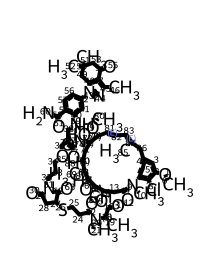 COc1cc2cc(c1Cl)N(C)C(=O)C[C@H](OC(=O)[C@H](C)N(C)C(=O)CCSC1CC(=O)N(CCCOCCCNc3cc(-n4nc(C)c5c4CC(C)(C)CC5=O)ccc3C(N)=O)C1=O)[C@]1(C)O[C@H]1[C@H](C)[C@@H]1C[C@@](O)(NC(=O)O1)[C@H](OC)/C=C/C=C(\C)C2